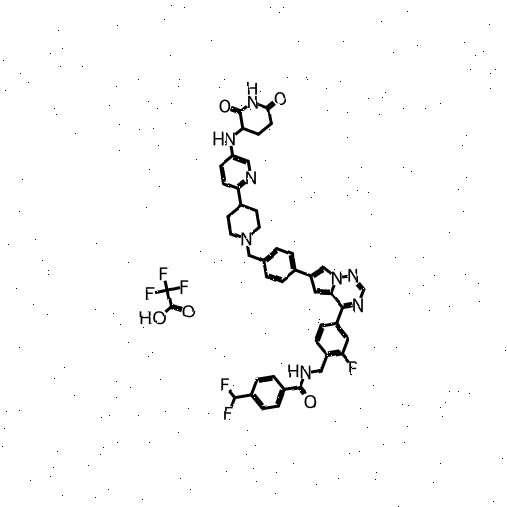 O=C(O)C(F)(F)F.O=C1CCC(Nc2ccc(C3CCN(Cc4ccc(-c5cc6c(-c7ccc(CNC(=O)c8ccc(C(F)F)cc8)c(F)c7)ncnn6c5)cc4)CC3)nc2)C(=O)N1